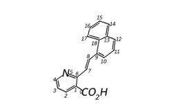 O=C(O)c1cccnc1C=Cc1cccc2ccccc12